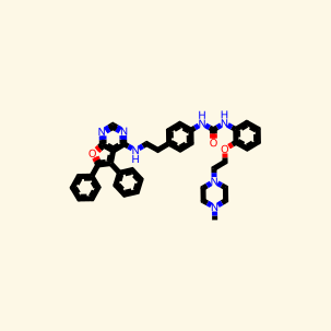 CN1CCN(CCOc2ccccc2NC(=O)Nc2ccc(CCNc3ncnc4oc(-c5ccccc5)c(-c5ccccc5)c34)cc2)CC1